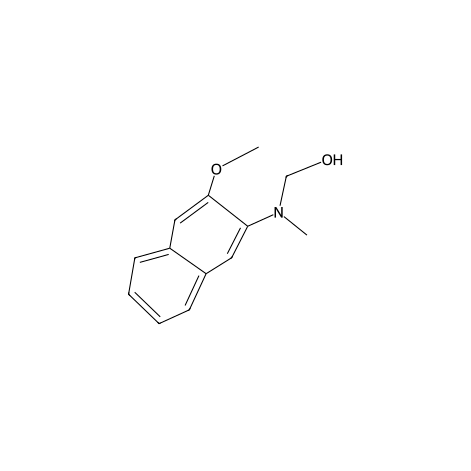 COc1cc2ccccc2cc1N(C)CO